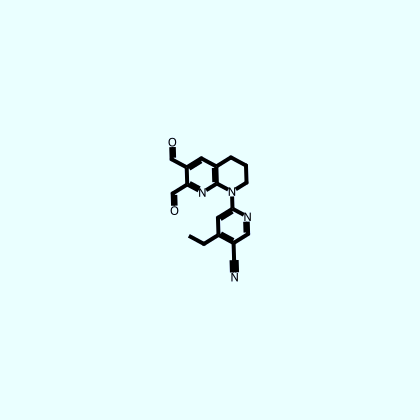 CCc1cc(N2CCCc3cc(C=O)c(C=O)nc32)ncc1C#N